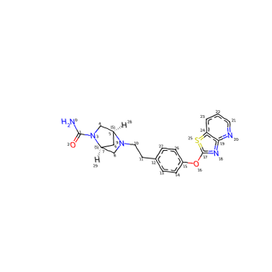 NC(=O)N1C[C@@H]2C[C@H]1CN2CCc1ccc(Oc2nc3ncccc3s2)cc1